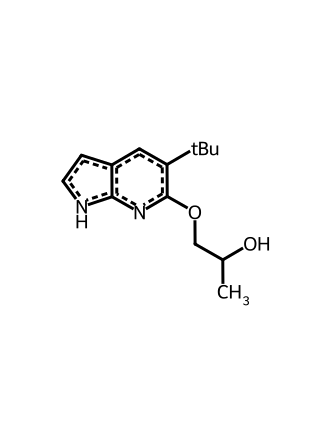 CC(O)COc1nc2[nH]ccc2cc1C(C)(C)C